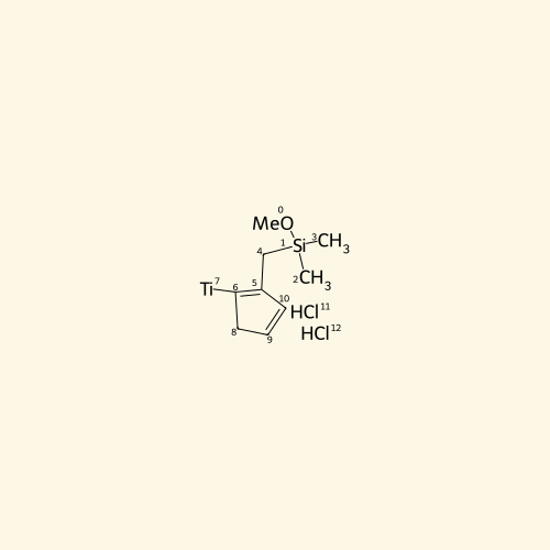 CO[Si](C)(C)CC1=[C]([Ti])CC=C1.Cl.Cl